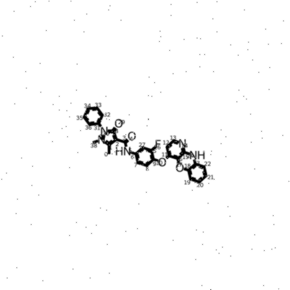 Cc1c(C(=O)Nc2ccc(Oc3ccnc4c3Oc3ccccc3N4)c(F)c2)c(=O)n(-c2ccccc2)n1C